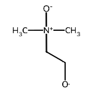 C[N+](C)([O-])CC[O]